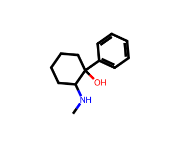 CNC1CCCCC1(O)c1ccccc1